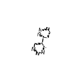 [c]1nnncc1-c1ccnnn1